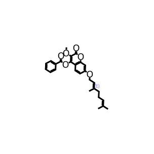 COc1c(OC(=O)c2ccccc2)c2ccc(OC/C=C(\C)CCC=C(C)C)cc2oc1=O